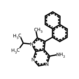 Cc1c(-c2cccc3ccccc23)c2c(N)ncnc2n1C(C)C